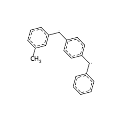 Cc1cccc([CH]c2ccc([CH]c3ccccc3)cc2)c1